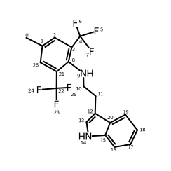 Cc1cc(C(F)(F)F)c(NCCc2c[nH]c3ccccc23)c(C(F)(F)F)c1